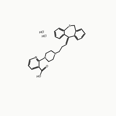 Cl.Cl.O=C(O)c1cccnc1N1CCN(CCC=C2c3ccccc3CSc3ccccc32)CC1